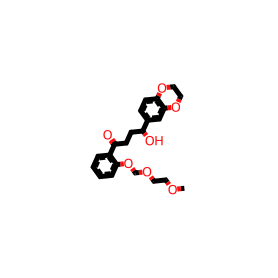 COCCOCOc1ccccc1C(=O)CCC(O)c1ccc2c(c1)OCCO2